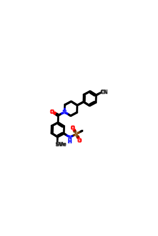 CSc1ccc(C(=O)N2CCC(c3ccc(C#N)cc3)CC2)cc1NS(C)(=O)=O